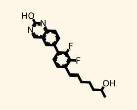 CC(O)CCC/C=C/c1ccc(-c2ccc3nc(O)ncc3c2)c(F)c1F